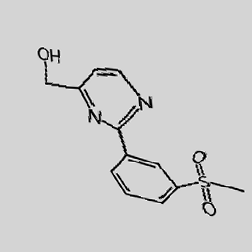 CS(=O)(=O)c1cccc(-c2nccc(CO)n2)c1